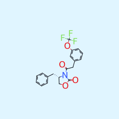 O=C(Cc1cccc(OC(F)(F)F)c1)N1C(=O)OC[C@@H]1Cc1ccccc1